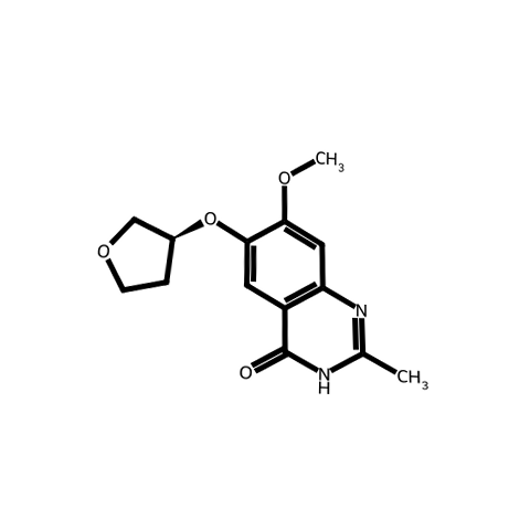 COc1cc2nc(C)[nH]c(=O)c2cc1O[C@H]1CCOC1